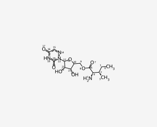 CC[C@@H](C)[C@@H](N)C(=O)OCC1OC(n2ncc(=O)[nH]c2=O)C(O)C1O